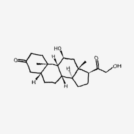 C[C@]12CCC(=O)C[C@H]1CC[C@@H]1[C@H]2[C@@H](O)C[C@]2(C)[C@@H](C(=O)CO)CC[C@@H]12